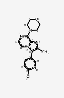 Cc1nc2c(N3CCOCC3)nccn2c1-c1ccc(Cl)nc1